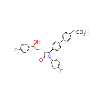 O=C(O)Cc1ccc(-c2ccc([C@@H]3[C@@H](CC[C@H](O)c4ccc(F)cc4)C(=O)N3c3ccc(F)cc3)cc2)cc1